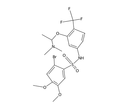 COc1cc(Br)c(S(=O)(=O)Nc2ccc(C(F)(F)F)c(OC(C)N(C)C)c2)cc1OC